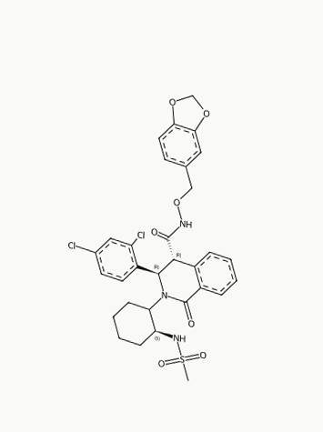 CS(=O)(=O)N[C@H]1CCCCC1N1C(=O)c2ccccc2[C@@H](C(=O)NOCc2ccc3c(c2)OCO3)[C@@H]1c1ccc(Cl)cc1Cl